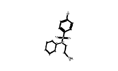 O=S(=O)(c1ccc(Cl)cc1)N(CCO)C1CCCCC1